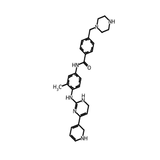 Cc1cc(NC(=O)c2ccc(CN3CCNCC3)cc2)ccc1NC1=NC(C2=CC=CNC2)=CCN1